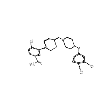 O=C(O)c1ccc(Cl)c(N2CCC(CN3CCC(Oc4ccc(Cl)c(Cl)c4)CC3)CC2)c1